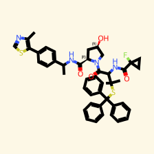 Cc1ncsc1-c1ccc(C(C)NC(=O)[C@H]2C[C@@H](O)CN2C(=O)C(NC(=O)C2(F)CC2)C(C)(C)SC(c2ccccc2)(c2ccccc2)c2ccccc2)cc1